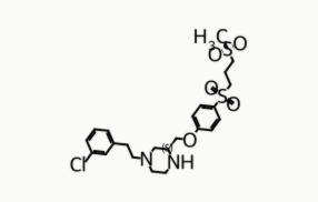 CS(=O)(=O)CCCS(=O)(=O)c1ccc(OC[C@@H]2CN(CCc3cccc(Cl)c3)CCN2)cc1